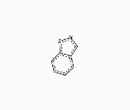 [c]1cccc2sncc12